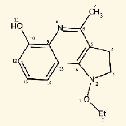 CCON1CCc2c(C)nc3c(O)cccc3c21